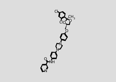 C[C@]1(c2ccc(Cl)cc2Cl)OC[C@@H](COc2ccc(N3CCN(c4ccc(NC(=O)c5cccnc5)cc4)CC3)cc2)O1